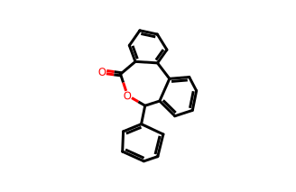 O=C1OC(c2ccccc2)c2ccccc2-c2ccccc21